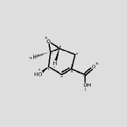 O=C(O)C1=C[C@@H](O)[C@H]2O[C@@H]2C1